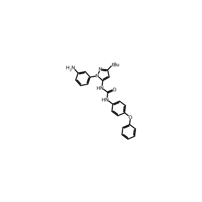 CC(C)(C)c1cc(NC(=O)Nc2ccc(Oc3ccccc3)cc2)n(-c2cccc(N)c2)n1